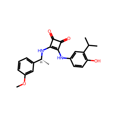 COc1cccc([C@@H](C)Nc2c(Nc3ccc(O)c(C(C)C)c3)c(=O)c2=O)c1